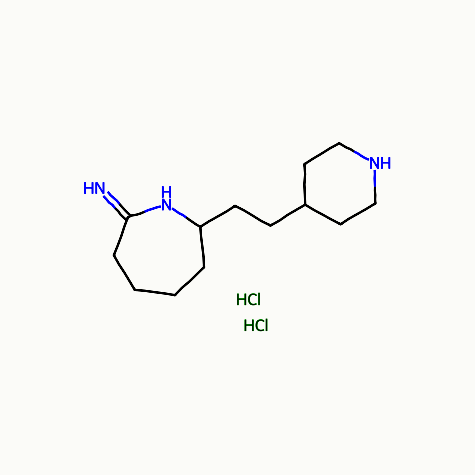 Cl.Cl.N=C1CCCCC(CCC2CCNCC2)N1